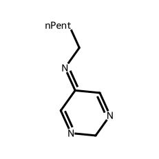 CCCCCCN=C1C=NCN=C1